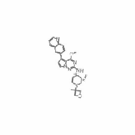 COc1nc(N[C@H]2CCN(C3(C)COC3)C[C@H]2F)nn2ccc(-c3ccc4ncccc4c3)c12